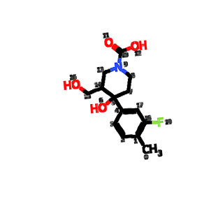 Cc1ccc(C2(O)CCN(C(=O)O)CC2CO)cc1F